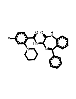 O=C(NC1N=C(c2ccccc2)c2ccccc2NC1=O)c1ccc(F)cc1N1CCCCC1